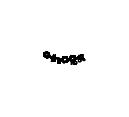 Cc1ncc(-c2ccc(N3CCN(C(=O)Cc4csc(-c5ccccc5)n4)CC3)cc2O)o1